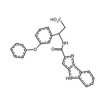 O=C(O)CC(NC(=O)c1cc2[nH]c3ccccc3n2n1)c1cccc(Oc2ccccc2)c1